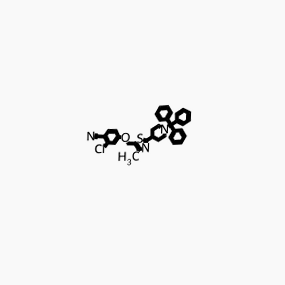 Cc1nc(C2CCN(C(c3ccccc3)(c3ccccc3)c3ccccc3)CC2)sc1COc1ccc(C#N)c(Cl)c1